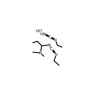 CCN=C=N.CCN=C=NC(CC)N(C)C.Cl